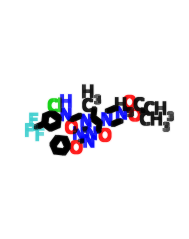 CCc1c(N2CCN(C(=O)OC(C)(C)C)CC2)c(=O)n2nc(Oc3ccccc3)nc2n1CC(=O)Nc1ccc(C(F)(F)F)cc1Cl